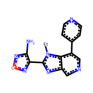 CCn1c(-c2nonc2N)nc2cncc(-c3ccncc3)c21